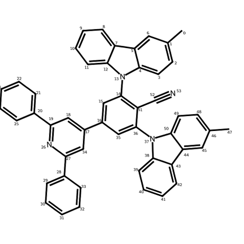 Cc1ccc2c(c1)c1ccccc1n2-c1cc(-c2cc(-c3ccccc3)nc(-c3ccccc3)c2)cc(-n2c3ccccc3c3cc(C)ccc32)c1C#N